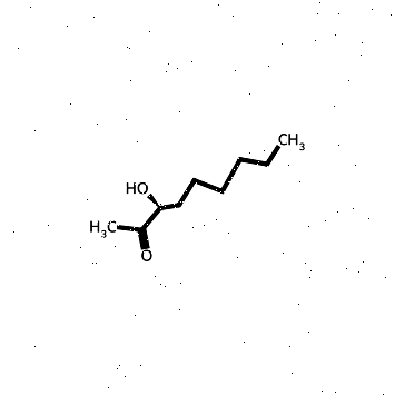 CCCCCC[C@H](O)C(C)=O